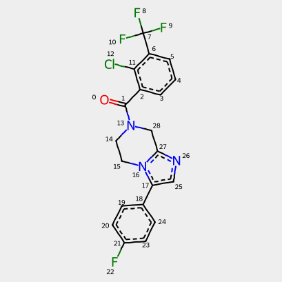 O=C(c1cccc(C(F)(F)F)c1Cl)N1CCn2c(-c3ccc(F)cc3)cnc2C1